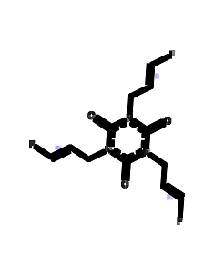 O=c1n(C/C=C/F)c(=O)n(C/C=C/F)c(=O)n1C/C=C/F